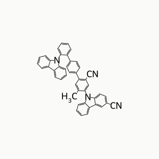 Cc1cc(-c2ccc(-c3ccccc3-n3c4ccccc4c4ccccc43)cc2)c(C#N)cc1-n1c2ccccc2c2cc(C#N)ccc21